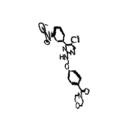 O=C(c1ccc(OCNc2ncc(Cl)c(-c3cccc([N+](=O)[O-])c3)n2)cc1)N1CCOCC1